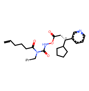 C=CCCCC(=O)N(CC(C)C)C(=O)NOC(=O)C[C@H](c1cccnc1)C1CCCC1